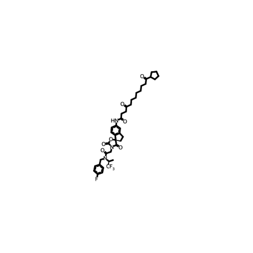 C[C@H](N(Cc1ccc(F)cc1)C(=O)CN1C(=O)O[C@@]2(CCc3cc(NC(=O)CCC(=O)CCCCCCCC(=O)C4CCCC4)ccc32)C1=O)C(F)(F)F